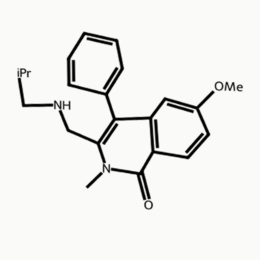 COc1ccc2c(=O)n(C)c(CNCC(C)C)c(-c3ccccc3)c2c1